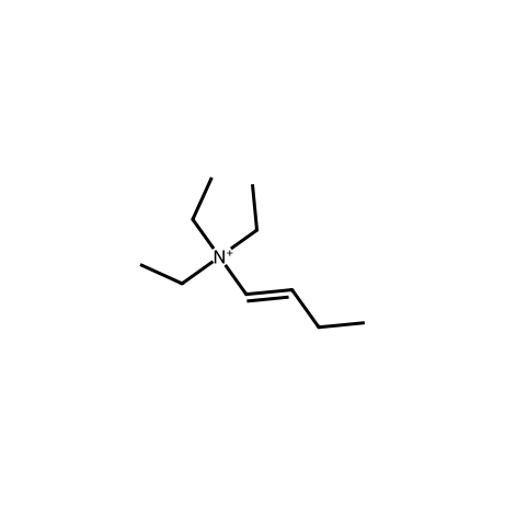 CCC=C[N+](CC)(CC)CC